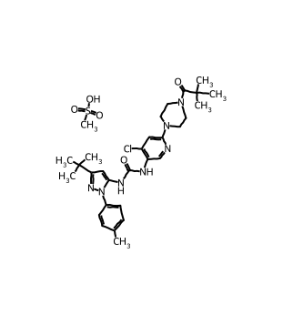 CS(=O)(=O)O.Cc1ccc(-n2nc(C(C)(C)C)cc2NC(=O)Nc2cnc(N3CCN(C(=O)C(C)(C)C)CC3)cc2Cl)cc1